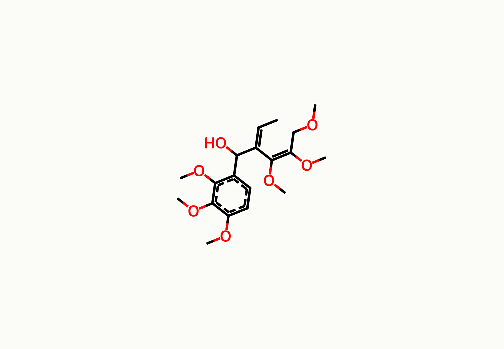 C/C=C(\C(OC)=C(/COC)OC)C(O)c1ccc(OC)c(OC)c1OC